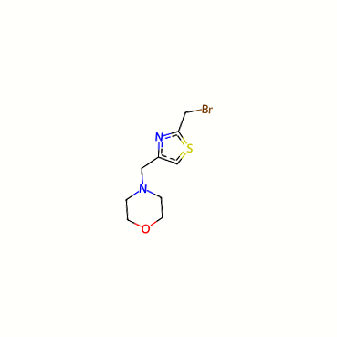 BrCc1nc(CN2CCOCC2)cs1